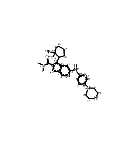 CN(C)C(=O)c1sc2cnc(Nc3ccc(N4CCNCC4)cn3)cc2c1C1CCCCC1(F)F